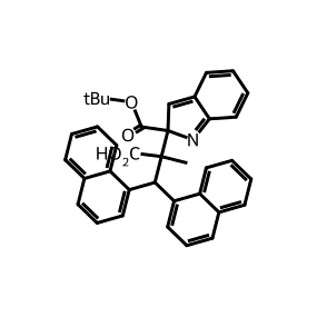 CC(C)(C)OC(=O)C1(C(C)(C(=O)O)C(c2cccc3ccccc23)c2cccc3ccccc23)C=c2ccccc2=N1